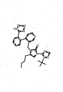 CCCCc1cn(-c2ncnn2C(C)(C)C)c(=O)n1Cc1cnccc1-c1ccccc1-c1nnn[nH]1